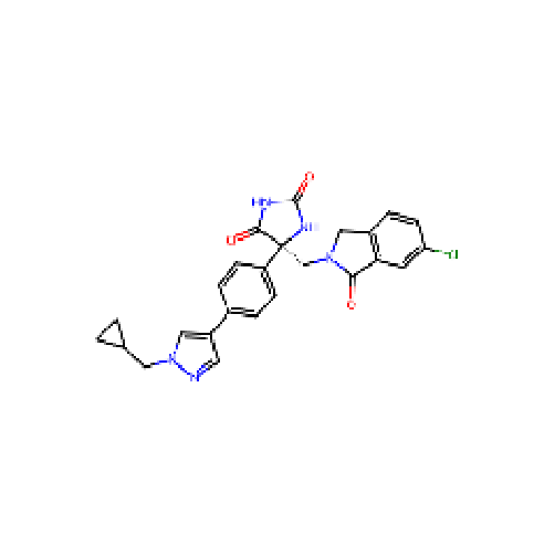 O=C1NC(=O)[C@](CN2Cc3ccc(Cl)cc3C2=O)(c2ccc(-c3cnn(CC4CC4)c3)cc2)N1